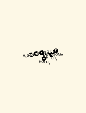 COc1ccncc1-c1nc(C)cc(C(=O)Nc2nc3ccc(N4CCC(N5CCN(C)CC5)CC4)cc3n2[C@H]2CC[C@@](C)(O)CC2)c1F